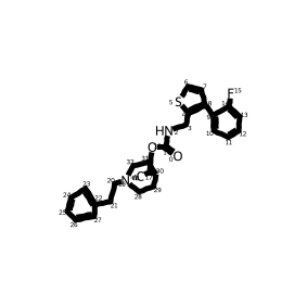 O=C(NCc1sccc1-c1ccccc1F)OC1C[N+]2(CCc3ccccc3)CCC1CC2